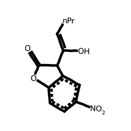 CCCC=C(O)C1C(=O)Oc2ccc([N+](=O)[O-])cc21